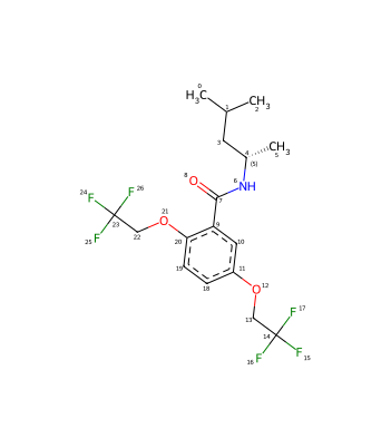 CC(C)C[C@H](C)NC(=O)c1cc(OCC(F)(F)F)ccc1OCC(F)(F)F